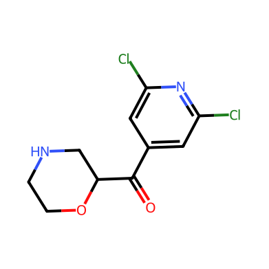 O=C(c1cc(Cl)nc(Cl)c1)C1CNCCO1